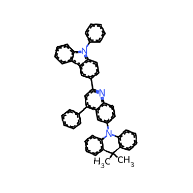 CC1(C)c2ccccc2N(c2ccc3nc(-c4ccc5c(c4)c4ccccc4n5-c4ccccc4)cc(-c4ccccc4)c3c2)c2ccccc21